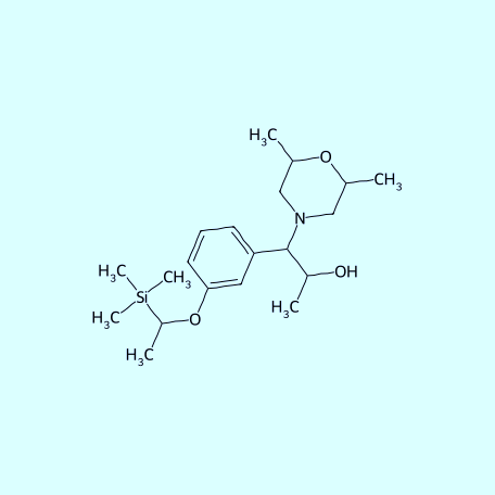 CC1CN(C(c2cccc(OC(C)[Si](C)(C)C)c2)C(C)O)CC(C)O1